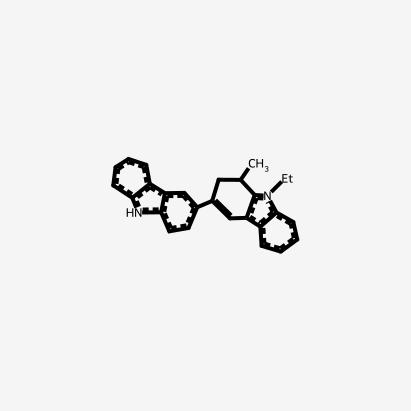 CCn1c2c(c3ccccc31)C=C(c1ccc3[nH]c4ccccc4c3c1)CC2C